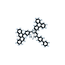 NC(/C=C(\NCc1ccc(-c2c3ccccc3cc3c2ccc2ccccc23)cc1)c1ccc2c3ccccc3c3ccccc3c2c1)c1ccc(-c2ccccc2)cc1